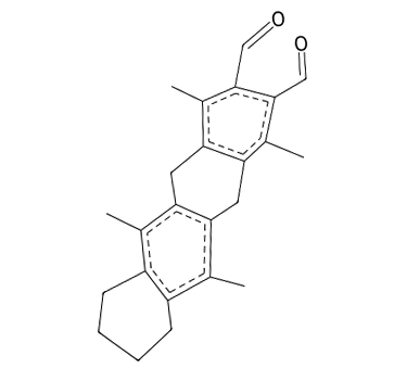 Cc1c(C=O)c(C=O)c(C)c2c1Cc1c(C)c3c(c(C)c1C2)CCCC3